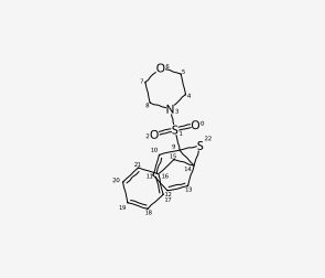 O=S(=O)(N1CCOCC1)C12C=CC=CC1(Cc1ccccc1)S2